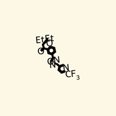 CCC1(CC)CC(=O)c2cc(-c3nc(-c4ccc(C(F)(F)F)nc4)no3)ccc2O1